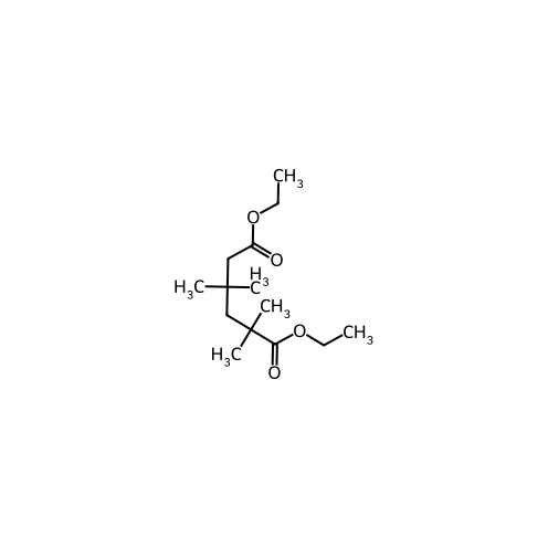 CCOC(=O)CC(C)(C)CC(C)(C)C(=O)OCC